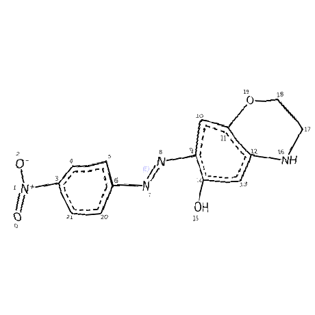 O=[N+]([O-])c1ccc(/N=N/c2cc3c(cc2O)NCCO3)cc1